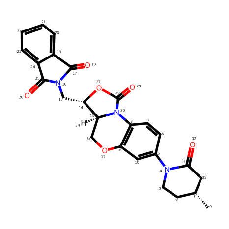 C[C@@H]1CCN(c2ccc3c(c2)OC[C@H]2[C@H](CN4C(=O)c5ccccc5C4=O)OC(=O)N32)C(=O)C1